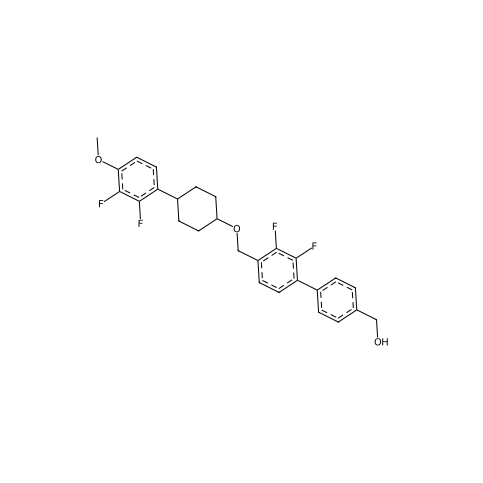 COc1ccc(C2CCC(OCc3ccc(-c4ccc(CO)cc4)c(F)c3F)CC2)c(F)c1F